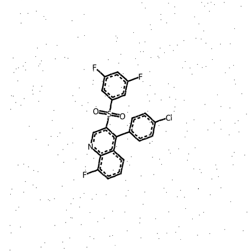 O=S(=O)(c1cc(F)cc(F)c1)c1cnc2c(F)cccc2c1-c1ccc(Cl)cc1